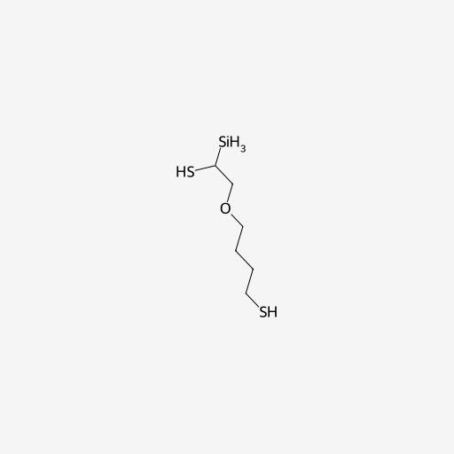 [SiH3]C(S)COCCCCS